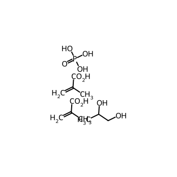 C=C(C)C(=O)O.C=C(C)C(=O)O.CC(O)CO.O=P(O)(O)O